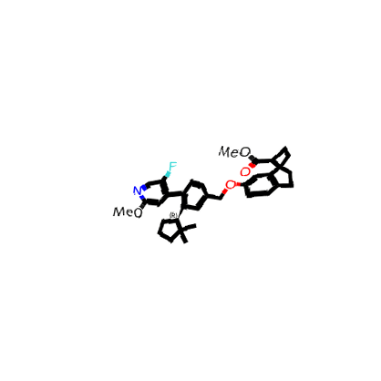 COC(=O)C1CCC12CCc1ccc(OCc3ccc(-c4cc(OC)ncc4F)c([C@@H]4CCCC4(C)C)c3)cc12